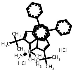 CC(C)(C)C1=Cc2c(-c3ccccc3)cccc2[CH]1[Ti]([CH3])([CH3])(=[SiH2])[CH]1C(C(C)(C)C)=Cc2c(-c3ccccc3)cccc21.Cl.Cl